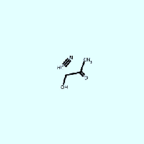 C#N.CC(=O)CO